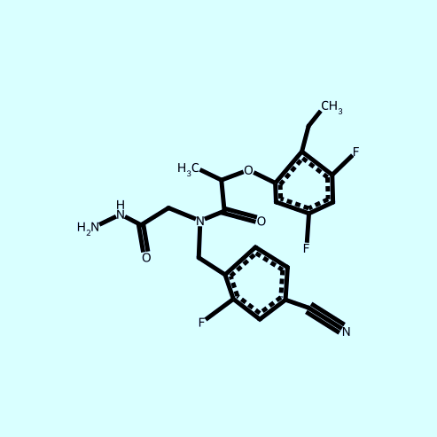 CCc1c(F)cc(F)cc1OC(C)C(=O)N(CC(=O)NN)Cc1ccc(C#N)cc1F